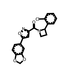 O=C(c1cc(-c2ccc3c(c2)OCO3)on1)N1CCC1c1ccccc1Cl